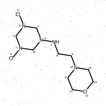 ClN1CN(Cl)CN(NCCN2CCOCC2)C1